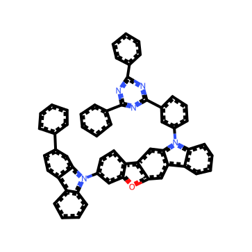 c1ccc(-c2ccc3c4ccccc4n(-c4ccc5c(c4)oc4cc6c7ccccc7n(-c7cccc(-c8nc(-c9ccccc9)nc(-c9ccccc9)n8)c7)c6cc45)c3c2)cc1